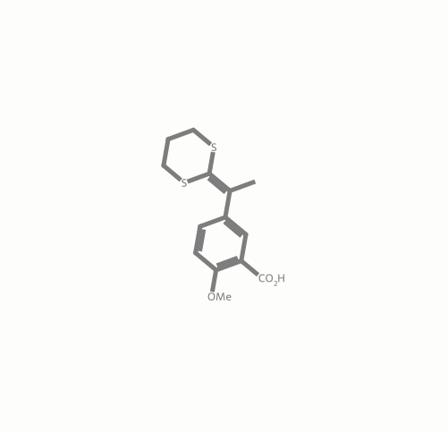 COc1ccc(C(C)=C2SCCCS2)cc1C(=O)O